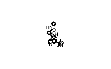 Cc1noc(C)c1-c1cc(S(=O)(=O)N[C@@H]2CCCC2C(=O)NC2CCCC2)c2cccnc2c1